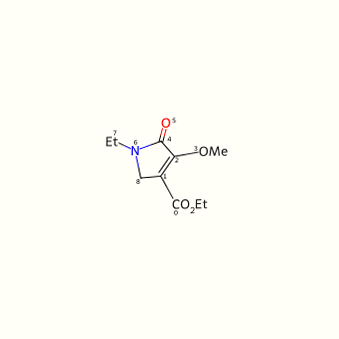 CCOC(=O)C1=C(OC)C(=O)N(CC)C1